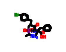 CC(N)P(=O)(O)CC(Cc1ccc(Br)cc1)C(=O)NC(C)(Cc1ccccc1)C(=O)O